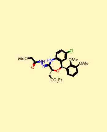 CCOC(=O)C[C@H]1O[C@H](c2cccc(OC)c2OC)c2cc(Cl)ccc2NC1=NNC(=O)COC